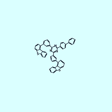 c1ccc(-c2ccc(-c3nc(-c4cccc(-c5cccc6sc7ccccc7c56)c4)nc(-c4cccc(-c5cccc6sc7ccccc7c56)c4)n3)cc2)cc1